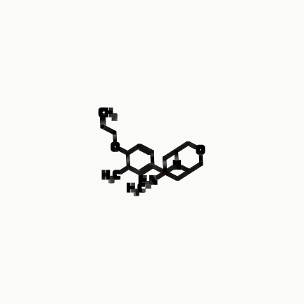 C=CCOC1C=CC(CN2C3COCC2CC(N)C3)=C(C)C1C